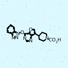 O=C(O)N1CCC(c2coc3c(On4nnc5ccccc54)ncnc23)CC1